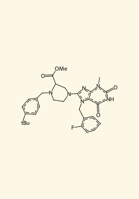 COC(=O)C1CN(c2nc3c(c(=O)[nH]c(=O)n3C)n2Cc2ccccc2F)CCN1Cc1ccc(C(C)(C)C)cc1